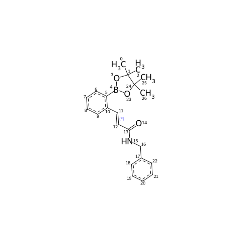 CC1(C)OB(c2ccccc2/C=C/C(=O)NCc2ccccc2)OC1(C)C